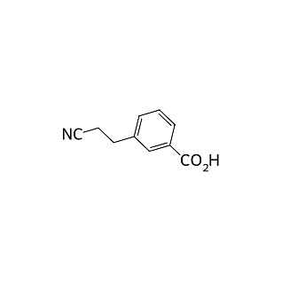 N#CCCc1cccc(C(=O)O)c1